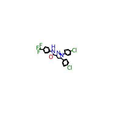 O=C(Nc1ccc(C(F)(F)F)cc1)C1=NN(c2ccc(Cl)cc2)C(c2ccc(Cl)cc2)C1